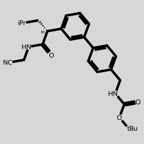 CC(C)C[C@@H](C(=O)NCC#N)c1cccc(-c2ccc(CNC(=O)OC(C)(C)C)cc2)c1